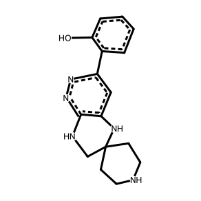 Oc1ccccc1-c1cc2c(nn1)NCC1(CCNCC1)N2